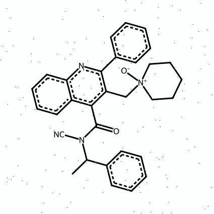 CC(c1ccccc1)N(C#N)C(=O)c1c(C[N+]2([O-])CCCCC2)c(-c2ccccc2)nc2ccccc12